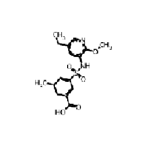 CCc1cnc(OC)c(NS(=O)(=O)C2=CC(C)CC(C(=O)O)=C2)c1